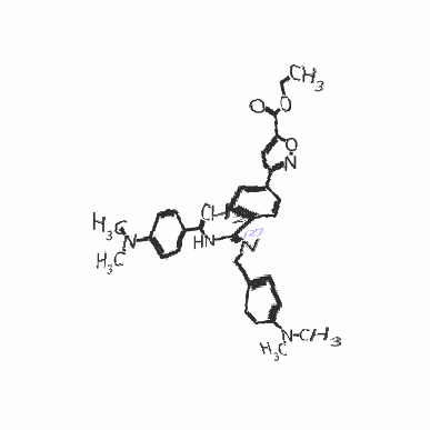 C=C(N/C(=N\Cc1ccc(N(C)C)cc1)c1ccc(-c2cc(C(=O)OCC)on2)cc1)c1ccc(N(C)C)cc1